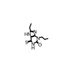 CCCn1c(=O)[nH]c(=S)c2[nH]c(CC)nc21